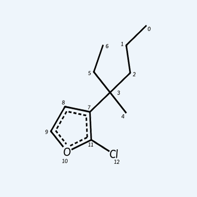 CCCC(C)(CC)c1ccoc1Cl